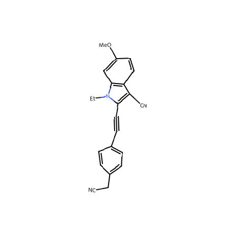 CCn1c(C#Cc2ccc(CC#N)cc2)c(C#N)c2ccc(OC)cc21